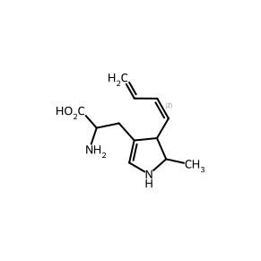 C=C/C=C\C1C(CC(N)C(=O)O)=CNC1C